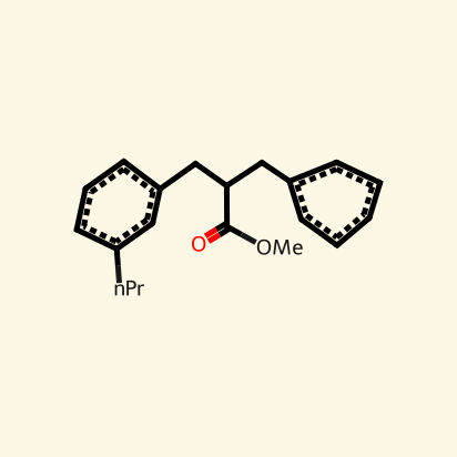 CCCc1cccc(CC(Cc2ccccc2)C(=O)OC)c1